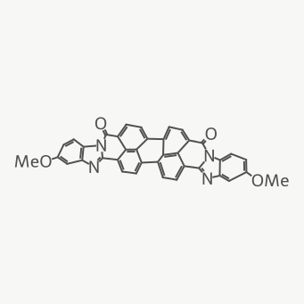 COc1ccc2c(c1)nc1c3ccc4c5ccc6c7c(ccc(c8ccc(c(=O)n21)c3c84)c57)c(=O)n1c2ccc(OC)cc2nc61